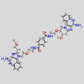 COCCc1nc2c(N)nc3ccccc3c2n1CCOCCNC(=O)c1ccc(C(=O)NCCOCCn2c(CCOC)nc3c(N)nc4ccccc4c32)cc1